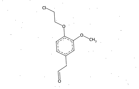 COc1cc(CC=O)ccc1OCCCl